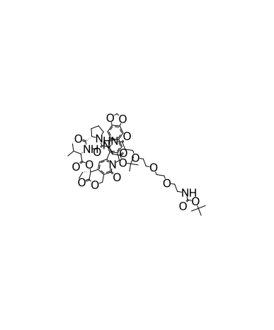 CC[C@@]1(OC(=O)[C@@H](NC(=O)[C@@H]2CCCN2C(=O)[C@H](CC(=O)OC(C)(C)C)NC(=O)CCOCCOCCOCCNC(=O)OC(C)(C)C)C(C)C)C(=O)OCc2c1cc1n(c2=O)Cc2cc3cc4c(cc3nc2-1)OCO4